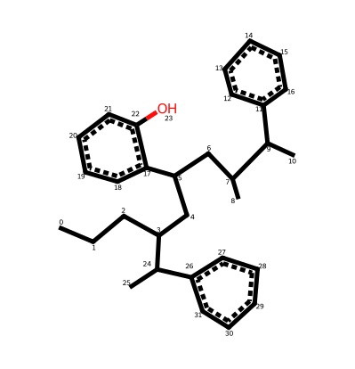 CCCC(CC(CC(C)C(C)c1ccccc1)c1ccccc1O)C(C)c1ccccc1